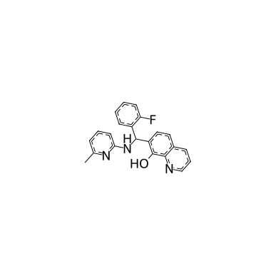 Cc1cccc(NC(c2ccccc2F)c2ccc3cccnc3c2O)n1